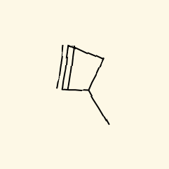 CC1C#CC1